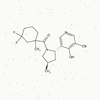 C[C@@H]1C[C@@H](c2cncc(C#N)c2O)N(C(=O)C2(C)CCCC(F)(F)C2)C1